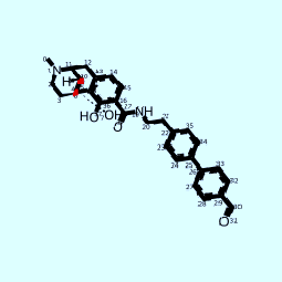 CN1CC[C@]23C[C@@H](O)C=C[C@H]2C1Cc1ccc(C(=O)NCCc2ccc(-c4ccc(C=O)cc4)cc2)c(O)c13